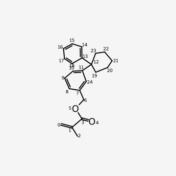 C=C(C)C(=O)OCc1cccc(C2(c3ccccc3)CCCCC2)c1